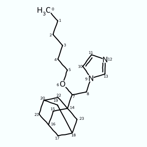 CCCCCCOC(Cn1ccnc1)C12CC3CC(CC(C3)C1)C2